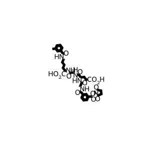 Cc1cccc(C(=O)NCCCCC(NC(=O)CNC(=O)C(CCC(=O)O)NC(=O)CNC(=O)c2cccc(C(=O)ON3C(=O)CCC3=O)c2)C(=O)O)c1